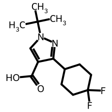 CC(C)(C)n1cc(C(=O)O)c(C2CCC(F)(F)CC2)n1